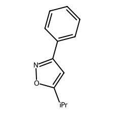 CC(C)c1cc(-c2ccccc2)no1